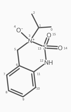 CC(C)[N+]1([O-])Cc2ccccc2NS1(=O)=O